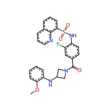 COc1ccccc1NC1CN(C(=O)c2ccc(NS(=O)(=O)c3cccc4cccnc34)c(F)c2)C1